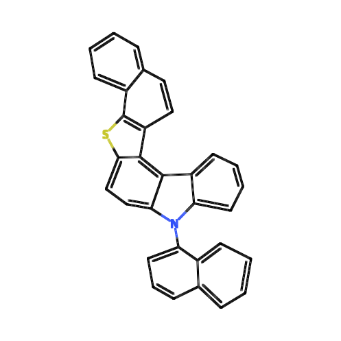 c1ccc2c(-n3c4ccccc4c4c5c(ccc43)sc3c4ccccc4ccc35)cccc2c1